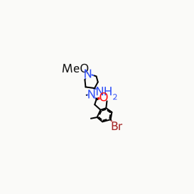 CON1CCC(N)(N(C)C(=O)Cc2c(C)cc(Br)cc2C)CC1